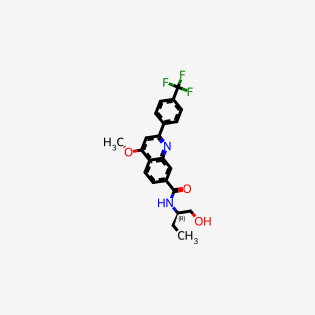 CC[C@H](CO)NC(=O)c1ccc2c(OC)cc(-c3ccc(C(F)(F)F)cc3)nc2c1